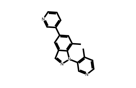 Cc1ccncc1-n1ncc2cc(-c3cccnc3)cc(C)c21